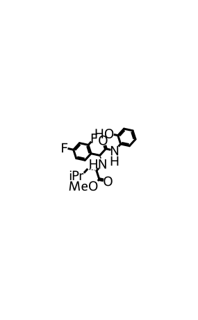 COC(=O)[C@H](CC(C)C)N[C@@H](C(=O)Nc1ccccc1O)c1ccc(F)cc1F